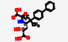 CC(C)(c1ccc(-c2ccccc2)cc1)[C@H](C[C@@H](O)C(=O)O)NC(=O)C(=O)O